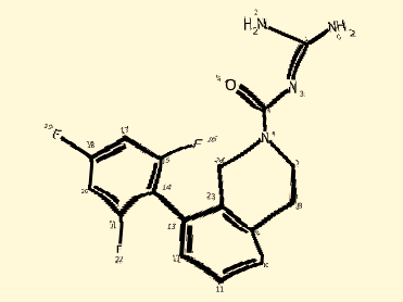 NC(N)=NC(=O)N1CCc2cccc(-c3c(F)cc(F)cc3F)c2C1